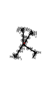 CC(=O)CCC(=O)O[C@@H]1C[C@@H](CO)N(C(=O)CCCSSCCNC(=O)CCCCC(=O)NC(COCCC(=O)NCCCNC(=O)CCCCOC2OC(COC(C)=O)C(O)C(O)C2N)(COCCC(=O)NCCCNC(=O)CCCCOC2OC(COC(C)=O)C(O)C(O)C2N)COCCC(=O)NCCCNC(=O)CCCCOC2OC(COC(C)=O)C(O)C(O)C2N)C1